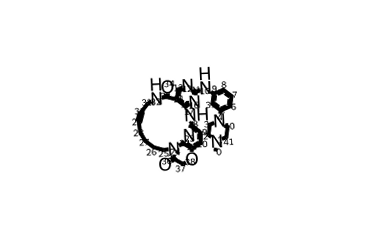 CN1CCN(c2cccc(Nc3ncc4c(n3)Nc3ccc5c(n3)N(CCCCC#CCNC4=O)C(=O)CO5)c2)CC1